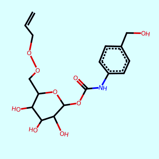 C=CCOOCC1OC(OC(=O)Nc2ccc(CO)cc2)C(O)C(O)C1O